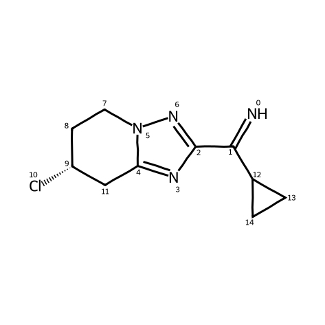 N=C(c1nc2n(n1)CC[C@@H](Cl)C2)C1CC1